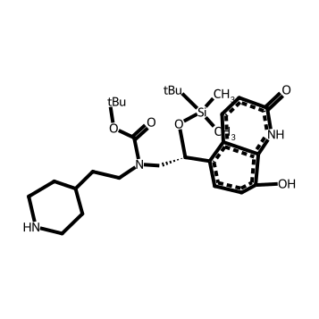 CC(C)(C)OC(=O)N(CCC1CCNCC1)C[C@H](O[Si](C)(C)C(C)(C)C)c1ccc(O)c2[nH]c(=O)ccc12